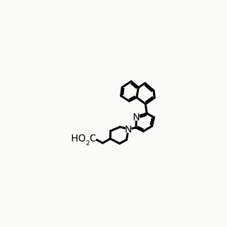 O=C(O)CC1CCN(c2cccc(-c3cccc4ccccc34)n2)CC1